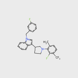 [CH2]c1ccc(C(F)(F)F)c(F)c1N1CCC(c2cn(Cc3cccc(F)c3)c3ccccc23)C1